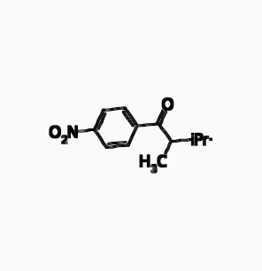 C[C](C)C(C)C(=O)c1ccc([N+](=O)[O-])cc1